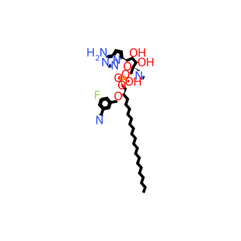 C=NC[C@]1(COP(=O)(O)OC[C@@H](CCCCCCCCCCCCCCCCCCCC)OCc2cc(F)cc(C#N)c2)O[C@@H](c2ccc3c(N)ncnn23)[C@H](O)[C@@H]1O